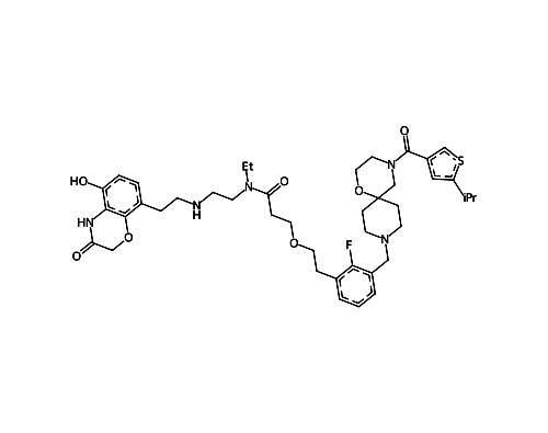 CCN(CCNCCc1ccc(O)c2c1OCC(=O)N2)C(=O)CCOCCc1cccc(CN2CCC3(CC2)CN(C(=O)c2csc(C(C)C)c2)CCO3)c1F